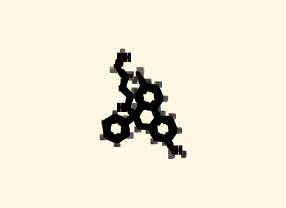 N=NCCCNC1(c2ccccc2)Cc2cc(N)ccc2-c2ccc(N)cc21